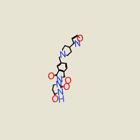 O=C1CCN(N2C(=O)c3ccc(CN4CCC(c5ccon5)CC4)cc3C2=O)C(=O)N1